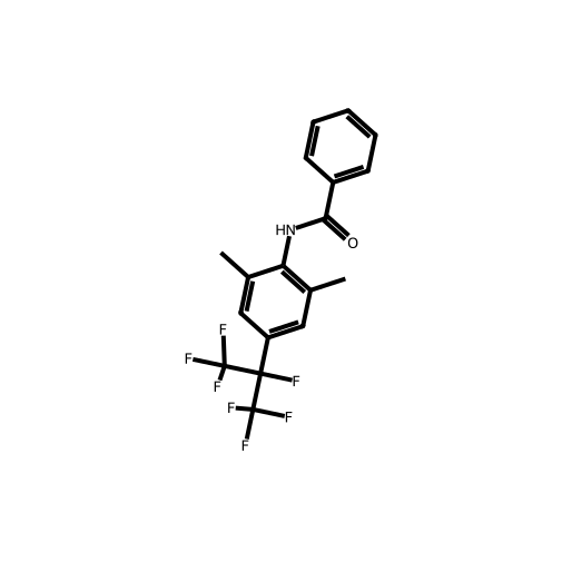 Cc1cc(C(F)(C(F)(F)F)C(F)(F)F)cc(C)c1NC(=O)c1ccccc1